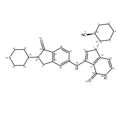 N#C[C@H]1CCCC[C@@H]1n1nc(Nc2ccc3c(c2)CN(C2CCSCC2)C3=O)c2c(=O)[nH]ccc21